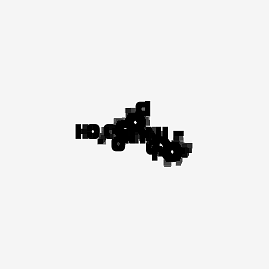 O=C(Cc1c(F)ccc(F)c1F)NCc1cc(Cl)cc2cc(C(=O)O)c(=O)[nH]c12